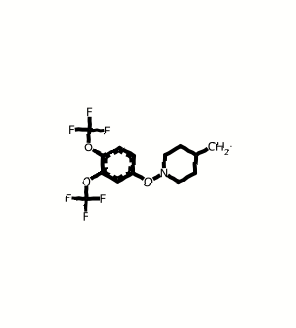 [CH2]C1CCN(Oc2ccc(OC(F)(F)F)c(OC(F)(F)F)c2)CC1